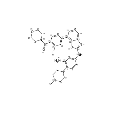 CN1CCN(c2ccc(Nc3nc4cccc(-c5ccc(C(=O)N6CCOCC6)c(F)c5)c4o3)cc2N)CC1